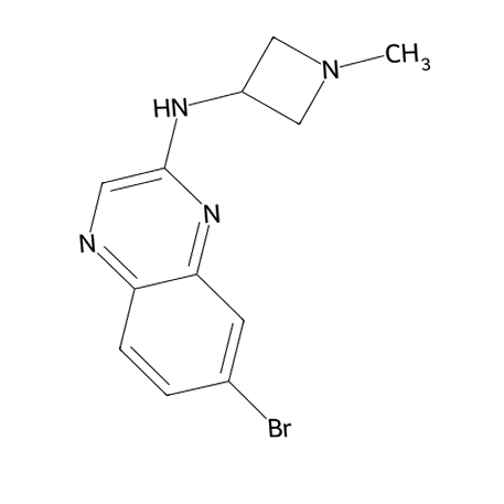 CN1CC(Nc2cnc3ccc(Br)cc3n2)C1